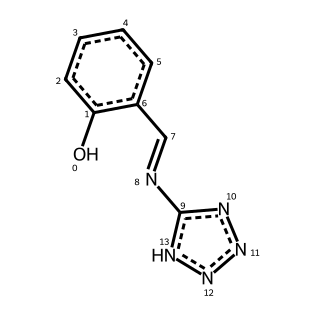 Oc1ccccc1C=Nc1nnn[nH]1